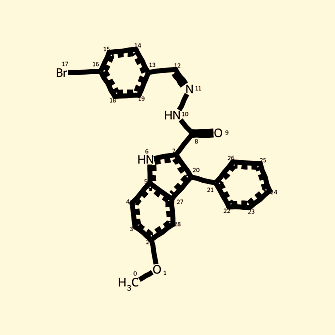 COc1ccc2[nH]c(C(=O)N/N=C\c3ccc(Br)cc3)c(-c3ccccc3)c2c1